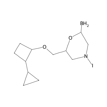 BC1CN(I)CC(COC2CCC2C2CC2)O1